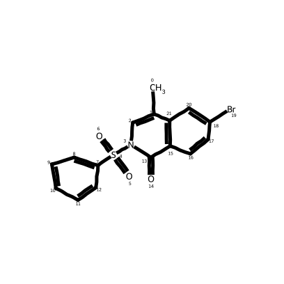 Cc1cn(S(=O)(=O)c2ccccc2)c(=O)c2ccc(Br)cc12